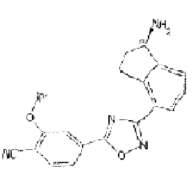 CC(C)Oc1cc(-c2nc(-c3cccc4c3CC[C@H]4N)no2)ccc1C#N